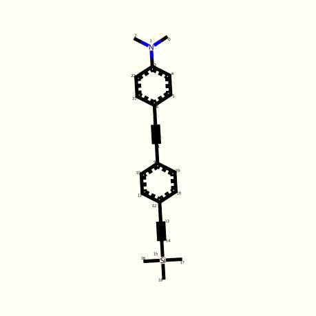 CN(C)c1ccc(C#Cc2ccc(C#C[Si](C)(C)C)cc2)cc1